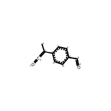 CC(=C=O)c1ccc(C=O)cc1